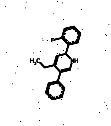 CCC1=CC(c2ccccc2F)NC=C1c1ccccc1